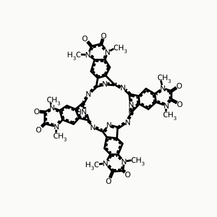 Cn1c(=O)c(=O)n(C)c2cc3c(cc21)-c1nc-3nc2[nH]c(nc3nc(nc4[nH]c(n1)c1cc5c(cc41)n(C)c(=O)c(=O)n5C)-c1cc4c(cc1-3)n(C)c(=O)c(=O)n4C)c1cc3c(cc21)n(C)c(=O)c(=O)n3C